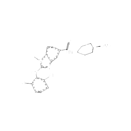 CO[C@H]1CC[C@H](NC(=O)c2ccc3c(c2)nc(Nc2c(Cl)cccc2Cl)n3C)CC1